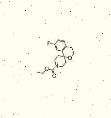 CCOC(=O)N1CCC2(CC1)OCCc1ccc(F)cc12